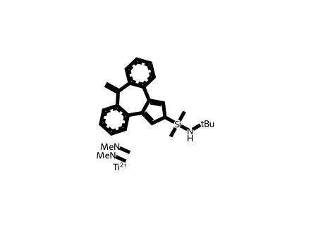 C=C1c2ccccc2C2=CC([Si](C)(C)NC(C)(C)C)C=C2c2ccccc21.C[N-]C.C[N-]C.[Ti+2]